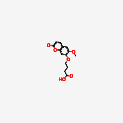 COc1cc2ccc(=O)oc2cc1OCCCC(=O)O